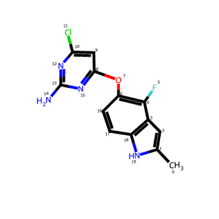 Cc1cc2c(F)c(Oc3cc(Cl)nc(N)n3)ccc2[nH]1